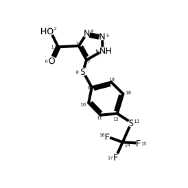 O=C(O)c1nn[nH]c1Sc1ccc(SC(F)(F)F)cc1